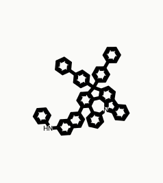 c1ccc(Nc2ccc3ccc(-c4ccc5c6c4-c4ccccc4-n4c7ccccc7c7ccc(c-6c74)C5(c4ccc(-c5ccccc5)cc4)c4ccc(-c5ccccc5)cc4)cc3c2)cc1